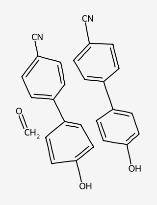 C=O.N#Cc1ccc(-c2ccc(O)cc2)cc1.N#Cc1ccc(-c2ccc(O)cc2)cc1